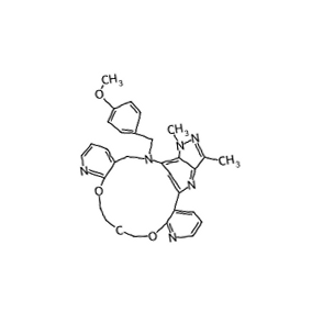 COc1ccc(CN2Cc3cccnc3OCCCCOc3ncccc3-c3cc2c2c(n3)c(C)nn2C)cc1